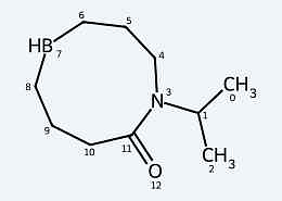 CC(C)N1CCCBCCCC1=O